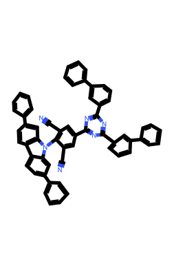 N#Cc1cc(-c2nc(-c3cccc(-c4ccccc4)c3)nc(-c3cccc(-c4ccccc4)c3)n2)cc(C#N)c1-n1c2cc(-c3ccccc3)ccc2c2ccc(-c3ccccc3)cc21